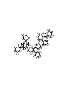 c1ccc(-c2nc(-c3ccccc3)nc(-c3ccc4c5ccccc5c5cc(-c6cccc7c6c6ccccc6n7-c6ccccc6)ccc5c4c3)n2)cc1